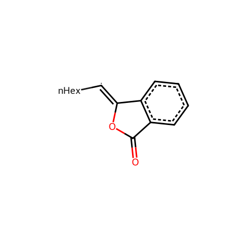 CCCCCC/[C]=C1\OC(=O)c2ccccc21